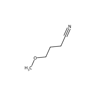 COCCCC#N